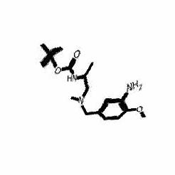 COc1ccc(CN(C)CC(C)NC(=O)OC(C)(C)C)cc1N